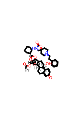 CC(C)C(=O)OCC(=O)[C@@]12O[C@H](C3CCCCC3)O[C@@H]1C[C@H]1[C@@H]3CCC4=CC(=O)C=C[C@]4(C)[C@H]3[C@@H](O)C[C@@]12C.O=C1NCC2(CCN(CCc3ccccc3)CC2)O1